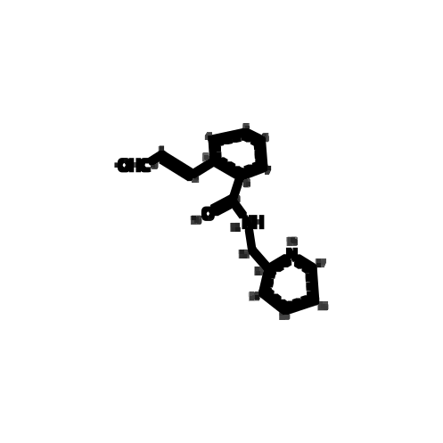 O=[C]/C=C/c1ccccc1C(=O)NCc1ccccn1